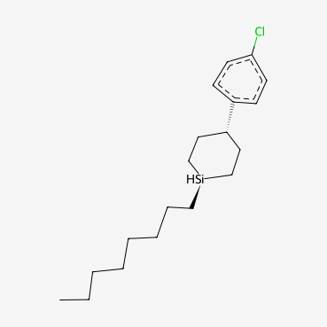 CCCCCCCC[Si@H]1CC[C@H](c2ccc(Cl)cc2)CC1